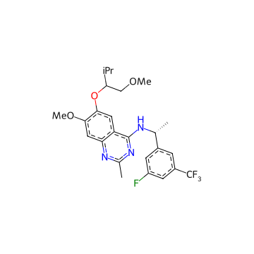 COCC(Oc1cc2c(N[C@H](C)c3cc(F)cc(C(F)(F)F)c3)nc(C)nc2cc1OC)C(C)C